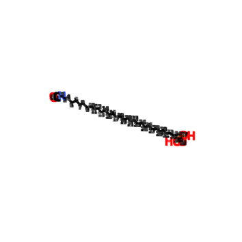 O=C=NCCCCCCCCCCCCCCCCCCCCCCCCCCCCCCCCP(=O)(O)O